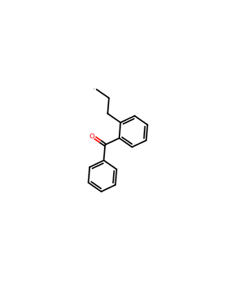 [CH2]CCc1ccccc1C(=O)c1ccccc1